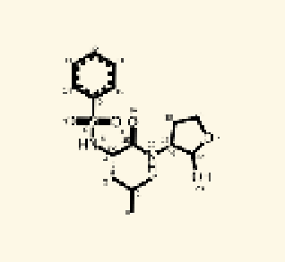 CC(C)C[C@H](NS(=O)(=O)c1ccccc1)C(=O)N[C@H]1CCOC1O